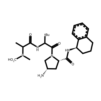 CC(C(=O)NC(C(=O)N1C[C@@H](N)C[C@H]1C(=O)N[C@@H]1CCCc2ccccc21)C(C)(C)C)N(C)C(=O)O